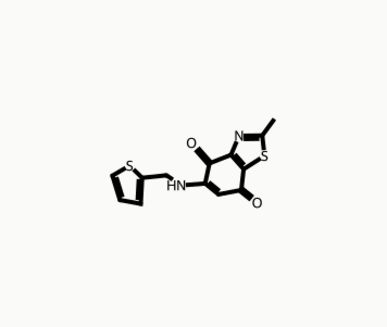 Cc1nc2c(s1)C(=O)C=C(NCc1cccs1)C2=O